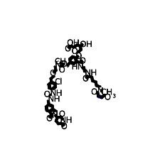 CN(CCCCCC(=O)NCCNC(=O)c1cc(COC(=O)N(C)CCOCCc2ccc(NC(=O)NCc3ccc4c(c3)CN(C3CCC(=O)NC3=O)C4=O)cc2Cl)ccc1OC1CC(O)CC(C(=O)O)O1)C(=O)/C=C\C=O